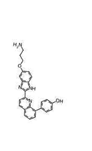 NCCCOc1ccc2[nH]c(-c3ccc4cccc(-c5ccc(O)cc5)c4n3)nc2c1